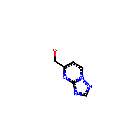 [O]Cc1ccn2ncnc2n1